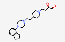 O=CC(=O)CCN1CCC(CCN2CCN(c3cccc4c3CCC4)CC2)CC1